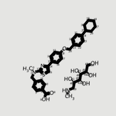 CN(Cc1ccc(C(=O)O)cc1)c1nc(-c2ccc(OCc3ccc(C4CCCCC4)cc3)cc2)cs1.CNC[C@H](O)[C@@H](O)[C@H](O)[C@H](O)CO